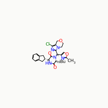 CC[C@H](C)[C@@H]1C(=O)N[C@H](C2Cc3ccccc3C2)C(=O)N1[C@H](c1coc(C)n1)c1nc(Cl)c2n1CCOC2